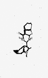 Cc1c(C2NC(=O)C3C4=C(CCCC4)SC3N2)c2ccccc2n1C